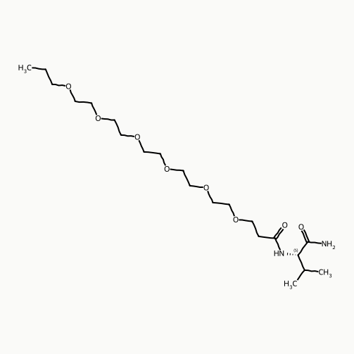 CCCOCCOCCOCCOCCOCCOCCC(=O)N[C@H](C(N)=O)C(C)C